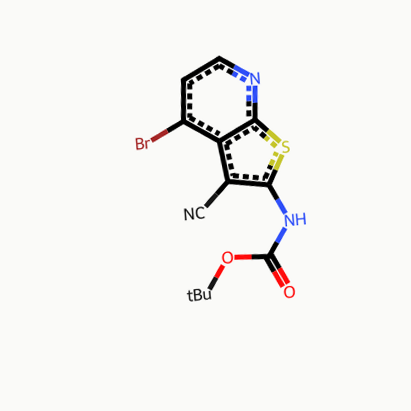 CC(C)(C)OC(=O)Nc1sc2nccc(Br)c2c1C#N